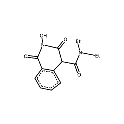 CCN(CC)C(=O)C1C(=O)N(O)C(=O)c2ccccc21